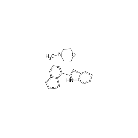 CN1CCOCC1.c1ccc2[nH]c(-c3cccc4ccccc34)cc2c1